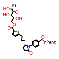 CCCCC[C@H](O)c1ccc(N2C(=O)CC[C@@H]2CCCc2ccc(C(=O)OC[C@@H](O)[C@@H](O)[C@H](O)[C@H](O)CC)s2)cc1